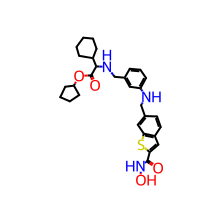 O=C(NO)c1cc2ccc(CNc3cccc(CNC(C(=O)OC4CCCC4)C4CCCCC4)c3)cc2s1